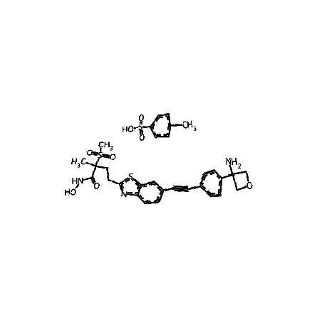 CC(CCc1nc2ccc(C#Cc3ccc(C4(N)COC4)cc3)cc2s1)(C(=O)NO)S(C)(=O)=O.Cc1ccc(S(=O)(=O)O)cc1